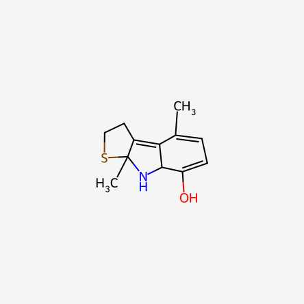 CC1=CC=C(O)C2NC3(C)SCCC3=C12